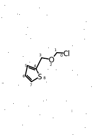 ClCOCc1cccs1